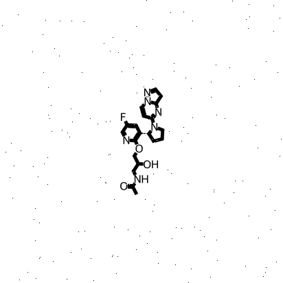 CC(=O)NCC(O)COc1ncc(F)cc1[C@H]1CCCN1C1=NC2CC=NN2C=C1